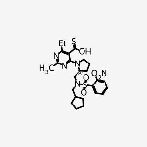 CCc1nc(C)nc(N2CCC[C@H]2CN(CC2CCCC2)S(=O)(=O)c2ccccc2[N+](=O)[O-])c1C(O)=S